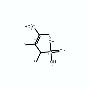 C/C(C(=O)O)=C(/C)C(C)P(=O)(O)O